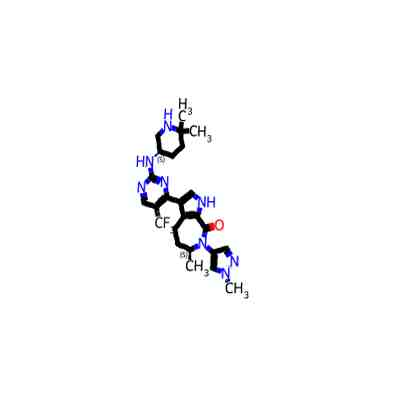 C[C@H]1CCc2c(-c3nc(N[C@H]4CCC(C)(C)NC4)ncc3C(F)(F)F)c[nH]c2C(=O)N1c1cnn(C)c1